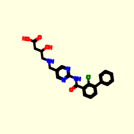 O=C(O)CC(O)CNCc1cnc(NC(=O)c2cccc(-c3ccccc3)c2Cl)nc1